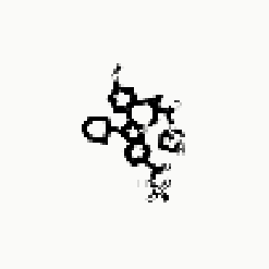 COc1ccc2c(c1)C1CC1(C(=O)N1CCN3CCC1CC3)Cn1c-2c(C2CCCCC2)c2ccc(C(=O)NS(C)(=O)=O)cc21